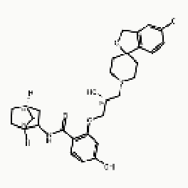 O=C(NC1C[C@@H]2CC[C@@H]1C2)c1ccc(O)cc1OC[C@H](O)CN1CCC2(CC1)OCc1cc(Cl)ccc12